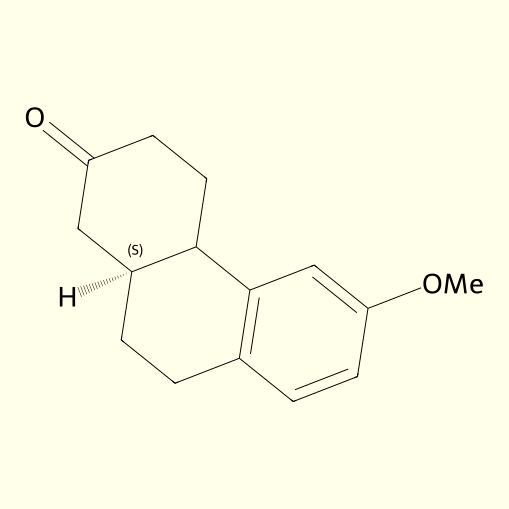 COc1ccc2c(c1)C1CCC(=O)C[C@@H]1CC2